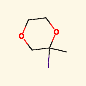 CC1(I)COCCO1